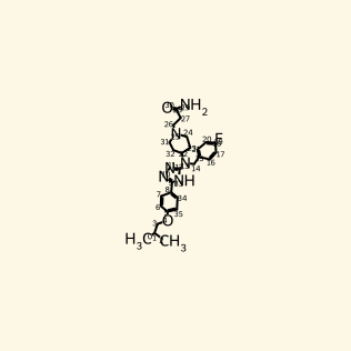 CC(C)COc1ccc(-c2nnc(N(Cc3ccc(F)cc3)C3CCN(CCC(N)=O)CC3)[nH]2)cc1